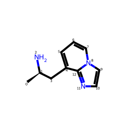 C[C@@H](N)Cc1cccn2ccnc12